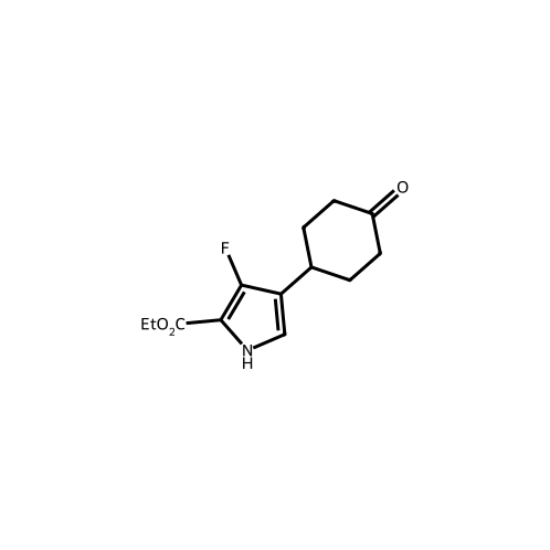 CCOC(=O)c1[nH]cc(C2CCC(=O)CC2)c1F